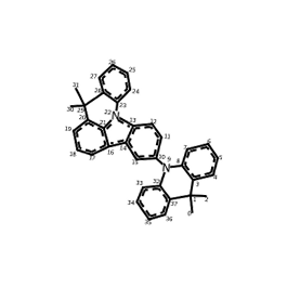 CC1(C)c2ccccc2N(c2ccc3c(c2)c2cccc4c2n3-c2ccccc2C4(C)C)c2ccccc21